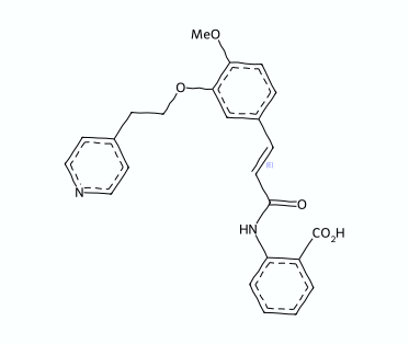 COc1ccc(/C=C/C(=O)Nc2ccccc2C(=O)O)cc1OCCc1ccncc1